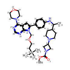 CC(C)(C)OC(=O)N1CC(N2CCC(C(Nc3ccc(-c4cc5c(N6CCOCC6)ncnc5n4COCC[Si](C)(C)C)cc3)C(F)(F)F)CC2)C1